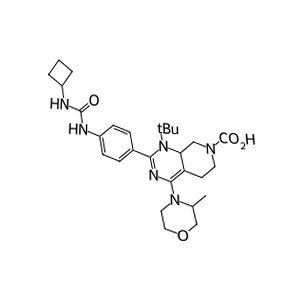 CC1COCCN1C1=C2CCN(C(=O)O)CC2N(C(C)(C)C)C(c2ccc(NC(=O)NC3CCC3)cc2)=N1